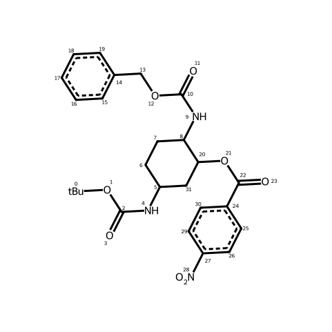 CC(C)(C)OC(=O)NC1CCC(NC(=O)OCc2ccccc2)C(OC(=O)c2ccc([N+](=O)[O-])cc2)C1